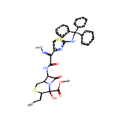 COCC1SCC2C(NC(=O)C(=NOC)c3csc(NC(c4ccccc4)(c4ccccc4)c4ccccc4)n3)C(=O)N2C1(O)C(=O)OC(C)(C)C